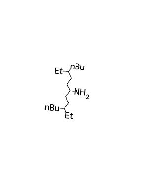 CCCCC(CC)CCC(N)CCC(CC)CCCC